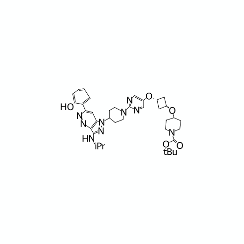 CC(C)Nc1nn(C2CCN(c3ncc(O[C@H]4C[C@H](OC5CCN(C(=O)OC(C)(C)C)CC5)C4)cn3)CC2)c2cc(-c3ccccc3O)nnc12